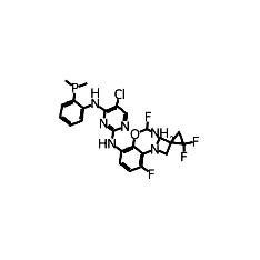 CP(C)c1ccccc1Nc1nc(Nc2ccc(F)c(N3CC4(C3)CC4(F)F)c2OC(N)F)ncc1Cl